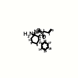 C=CCS(=O)(=O)C1CCCCC1(N)N.c1ccccc1